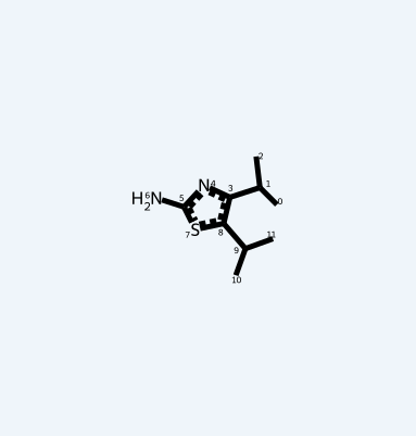 CC(C)c1nc(N)sc1C(C)C